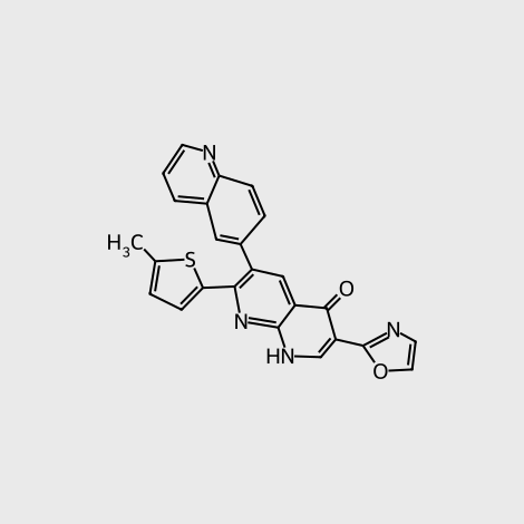 Cc1ccc(-c2nc3[nH]cc(-c4ncco4)c(=O)c3cc2-c2ccc3ncccc3c2)s1